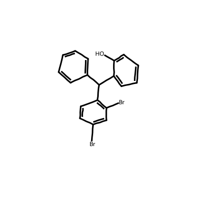 Oc1ccccc1C(c1ccccc1)c1ccc(Br)cc1Br